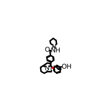 C=CCN1CCC2CCCC(C1)N2C(c1ccc(C(=O)NN2CCCCC2)cc1)c1cccc(O)c1